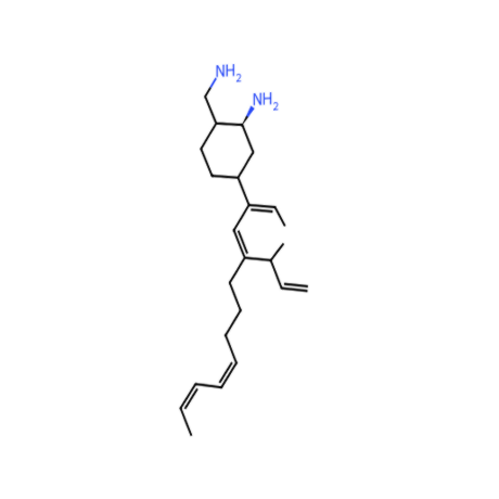 C=CC(C)/C(=C\C(=C/C)C1CCC(CN)[C@@H](N)C1)CCC/C=C\C=C/C